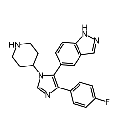 Fc1ccc(-c2ncn(C3CCNCC3)c2-c2ccc3[nH]ncc3c2)cc1